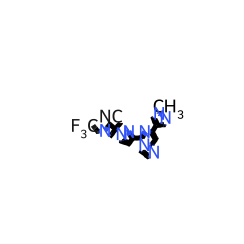 Cn1cc(-c2cc3nccn3c(-c3ccn(C4(CC#N)CN(CC(F)(F)F)C4)n3)n2)cn1